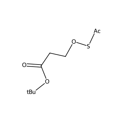 CC(=O)SOCCC(=O)OC(C)(C)C